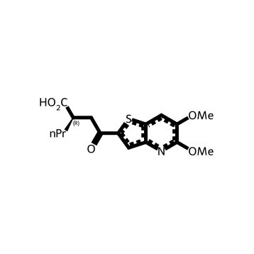 CCC[C@H](CC(=O)c1cc2nc(OC)c(OC)cc2s1)C(=O)O